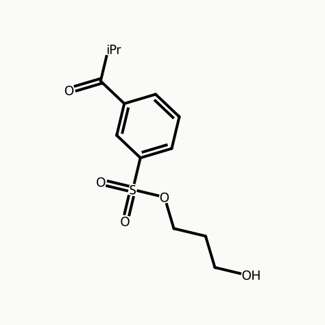 CC(C)C(=O)c1cccc(S(=O)(=O)OCCCO)c1